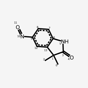 CC1(C)C(=O)Nc2ccc(N=O)cc21